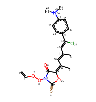 C=COON1C(=O)\C(=C(C)/C=C(C)/C=C(\Cl)c2ccc(N(CC)CC)cc2)OC1=S